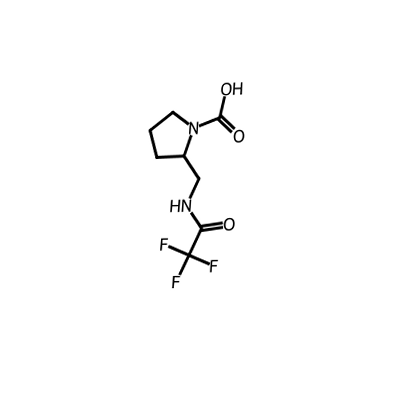 O=C(O)N1CCCC1CNC(=O)C(F)(F)F